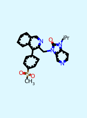 CC(C)n1c(=O)n(Cc2ncc3ccccc3c2-c2ccc(S(C)(=O)=O)cc2)c2cnccc21